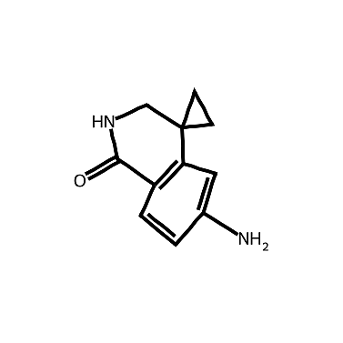 Nc1ccc2c(c1)C1(CC1)CNC2=O